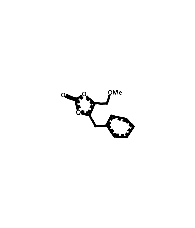 COCc1oc(=O)oc1Cc1ccccc1